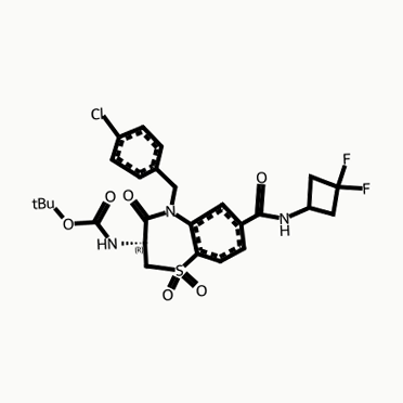 CC(C)(C)OC(=O)N[C@H]1CS(=O)(=O)c2ccc(C(=O)NC3CC(F)(F)C3)cc2N(Cc2ccc(Cl)cc2)C1=O